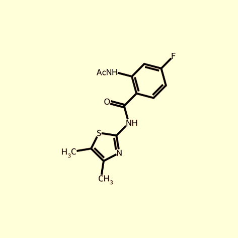 CC(=O)Nc1cc(F)ccc1C(=O)Nc1nc(C)c(C)s1